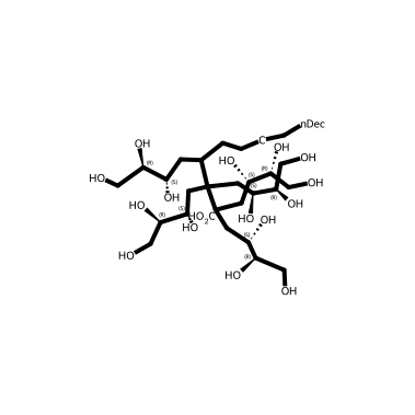 CCCCCCCCCCCCCCC(C[C@H](O)[C@H](O)CO)C(C[C@H](O)[C@H](O)CO)(C[C@H](O)[C@H](O)CO)C(C[C@H](O)[C@H](O)CO)(C[C@H](O)[C@H](O)CO)C(=O)O